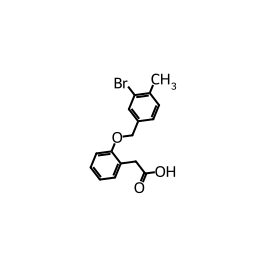 Cc1ccc(COc2ccccc2CC(=O)O)cc1Br